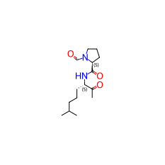 CC(=O)[C@H](CCCC(C)C)NC(=O)[C@@H]1CCCN1C=O